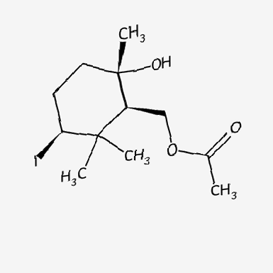 CC(=O)OC[C@H]1C(C)(C)[C@@H](I)CC[C@]1(C)O